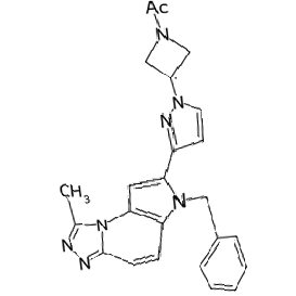 CC(=O)N1C[C](n2ccc(-c3cc4c(ccc5nnc(C)n54)n3Cc3ccccc3)n2)C1